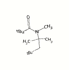 CN(C(=O)C(C)(C)C)C(C)(C)CC(C)(C)C